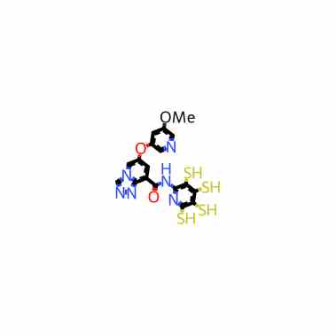 COc1cncc(Oc2cc(C(=O)Nc3nc(S)c(S)c(S)c3S)c3nncn3c2)c1